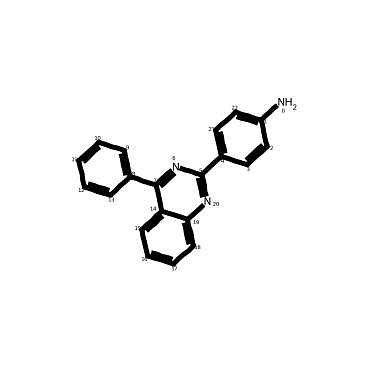 Nc1ccc(-c2nc(-c3ccccc3)c3ccccc3n2)cc1